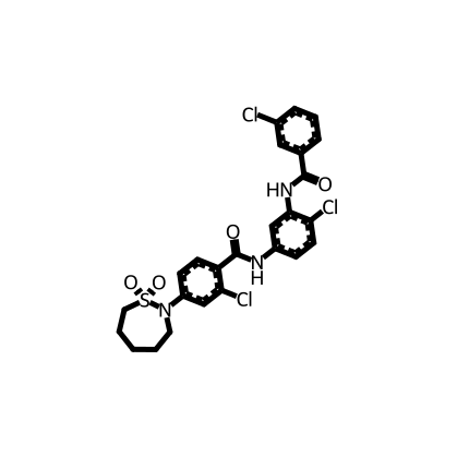 O=C(Nc1cc(NC(=O)c2ccc(N3CCCCCS3(=O)=O)cc2Cl)ccc1Cl)c1cccc(Cl)c1